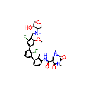 COc1cc(-c2cccc(-c3cccc(NC(=O)C4=CN(C)C5OC5N(C)C4=O)c3C)c2F)cc(F)c1CN[C@H]1CCOC[C@@H]1O